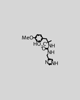 COc1ccc(C[C@](C)(NC(=O)NCc2c[nH]cn2)C(=O)O)cc1